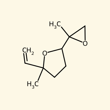 C=CC1(C)CCC(C2(C)CO2)O1